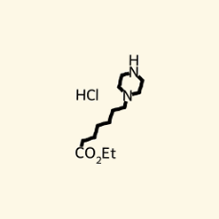 CCOC(=O)CCCCCCN1CCNCC1.Cl